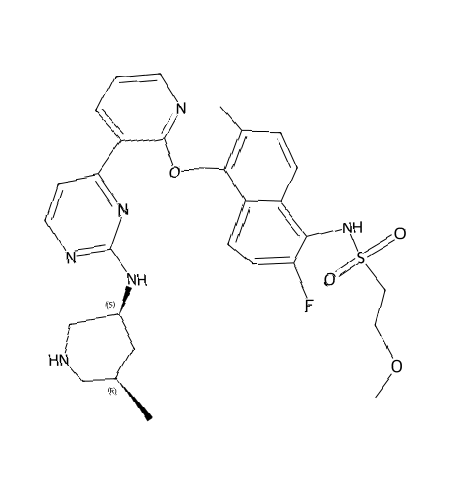 COCCS(=O)(=O)Nc1c(F)ccc2c(Oc3ncccc3-c3ccnc(N[C@@H]4CNC[C@H](C)C4)n3)c(C)ccc12